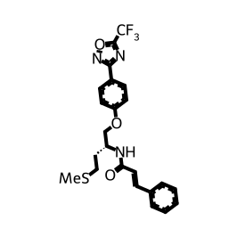 CSCC[C@H](COc1ccc(-c2noc(C(F)(F)F)n2)cc1)NC(=O)/C=C/c1ccccc1